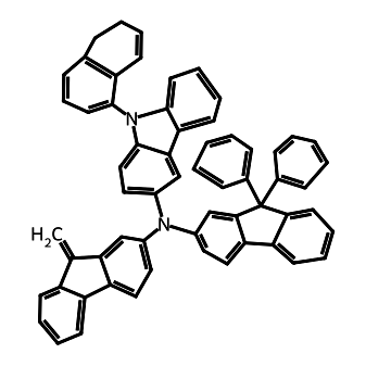 C=C1c2ccccc2-c2ccc(N(c3ccc4c(c3)C(c3ccccc3)(c3ccccc3)c3ccccc3-4)c3ccc4c(c3)c3ccccc3n4-c3cccc4c3C=CCC4)cc21